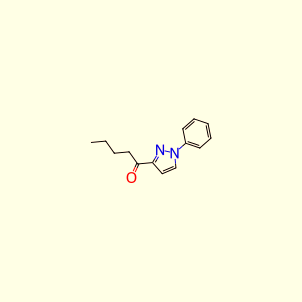 CCCCC(=O)c1ccn(-c2ccccc2)n1